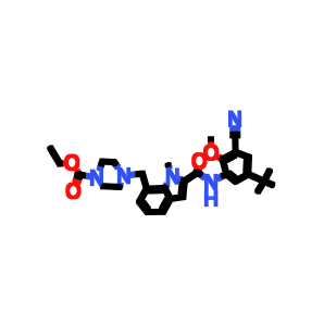 CCOC(=O)N1CCN(Cc2cccc3cc(C(=O)Nc4cc(C(C)(C)C)cc(C#N)c4OC)n(C)c23)CC1